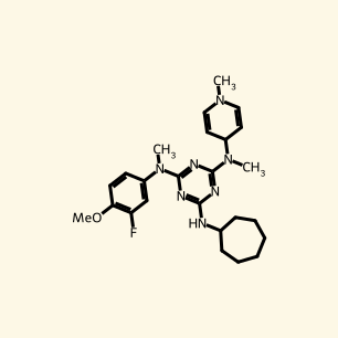 COc1ccc(N(C)c2nc(NC3CCCCCC3)nc(N(C)C3C=CN(C)C=C3)n2)cc1F